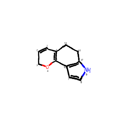 C1=CC2=C(OC1)c1cc[nH]c1CC2